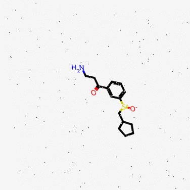 NCCC(=O)c1cccc([S+]([O-])CC2CCCC2)c1